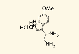 COc1ccc2c(C(N)CN)c[nH]c2c1.Cl.Cl